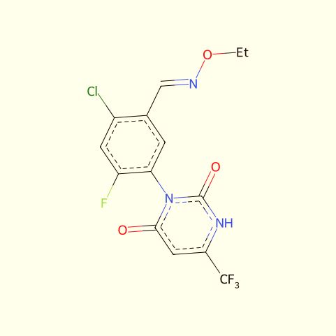 CCO/N=C/c1cc(-n2c(=O)cc(C(F)(F)F)[nH]c2=O)c(F)cc1Cl